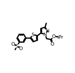 Cc1cc(-c2ccc(-c3cccc(S(C)(=O)=O)c3)s2)n(CC(=O)OC(C)C)n1